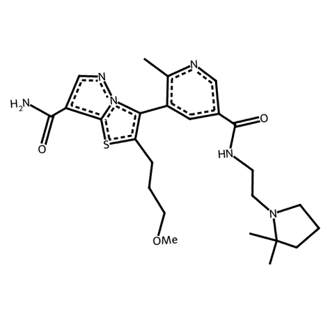 COCCCc1sc2c(C(N)=O)cnn2c1-c1cc(C(=O)NCCN2CCCC2(C)C)cnc1C